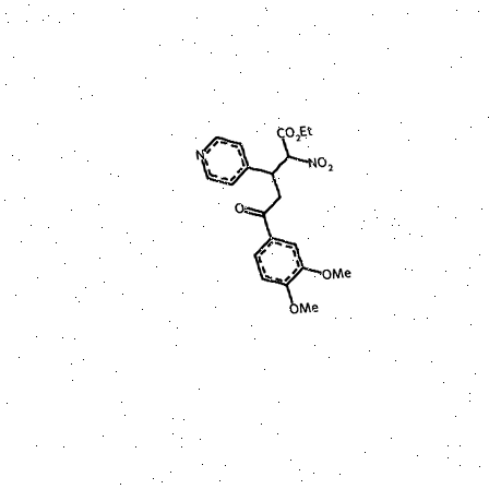 CCOC(=O)C(C(CC(=O)c1ccc(OC)c(OC)c1)c1ccncc1)[N+](=O)[O-]